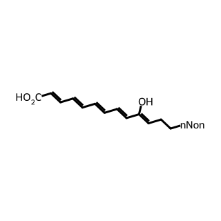 CCCCCCCCCCCC=C(O)C=CC=CC=CC=CC(=O)O